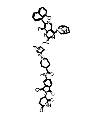 CN1C[C@@H](N2CCC(C(=O)Nc3ccc4c(c3)C(=O)N(C3CCC(=O)NC3=O)C4=O)CC2)C[C@H]1COc1nc(N2CC3CCC(C2)N3)c2cnc(-c3cccc4cccc(Cl)c34)c(F)c2n1